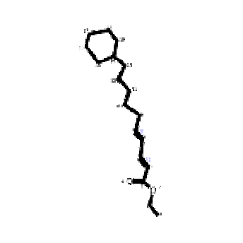 CCOC(=O)/C=C/C=C/CCCCCC1CCCCC1